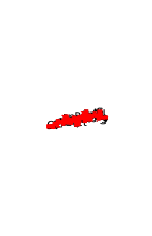 C=C(C)C(=O)Cc1ccc(-c2ccc(-c3ccc4c(c3)C3(c5cc(-c6ccc7c(c6)C6(c8cc(-c9ccc%10c(c9)C9(c%11cc(-c%12ccc(-c%13ccc(-c%14ccc(C)s%14)c%14nsnc%13%14)s%12)ccc%11-%10)C%10(CCC)CCCC9(CCC)CCC%10)ccc8-7)C7(CC)CCCC6(CC)CCC7)ccc5-4)C4(C)CCCC3(C)CCC4)s2)cc1